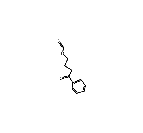 O=C(CCCOC=S)c1ccccc1